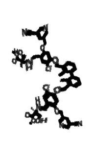 COC(=O)[C@](C)(CO)NCc1cc(Cl)c(OCc2cccc(-c3cccc(COc4cc(OCc5cncc(C#N)c5)c(CN[C@@](C)(CO)C(=O)OC)cc4Cl)c3C)c2C)cc1OCc1cncc(C#N)c1